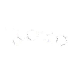 COc1ccsc1C1=CCN(C[C@@H](N)Cc2ccccc2)CC1